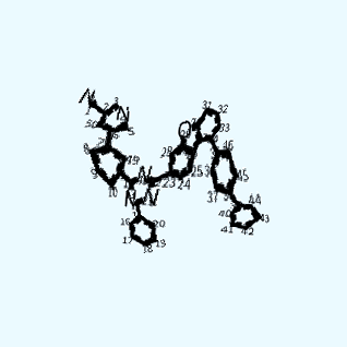 N#Cc1cncc(-c2cccc(-c3nc(-c4ccccc4)nc(-c4ccc5c(c4)oc4cccc(-c6ccc(-c7ccccc7)cc6)c45)n3)c2)c1